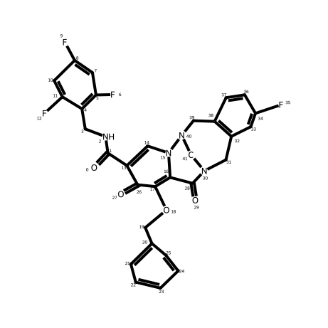 O=C(NCc1c(F)cc(F)cc1F)c1cn2c(c(OCc3ccccc3)c1=O)C(=O)N1Cc3cc(F)ccc3CN2C1